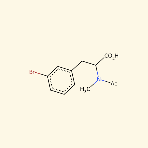 CC(=O)N(C)C(Cc1cccc(Br)c1)C(=O)O